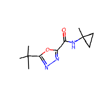 CC1(NC(=O)c2nnc(C(C)(C)C)o2)CC1